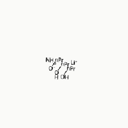 CCCO.CCCO.CCC[O-].N.[Li+]